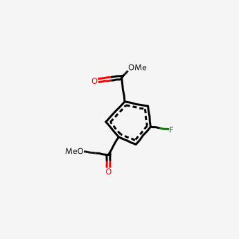 COC(=O)c1cc(F)cc(C(=O)OC)c1